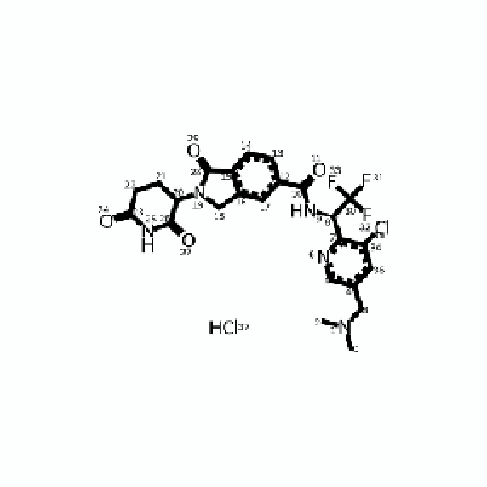 CN(C)Cc1cnc([C@@H](NC(=O)c2ccc3c(c2)CN(C2CCC(=O)NC2=O)C3=O)C(F)(F)F)c(Cl)c1.Cl